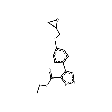 CCOC(=O)c1nnsc1-c1ccc(OCC2CO2)cc1